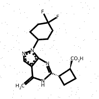 C=C1NC([C@H]2CC[C@@H]2C(=O)O)=Nc2c1cnn2C1CCC(F)(F)CC1